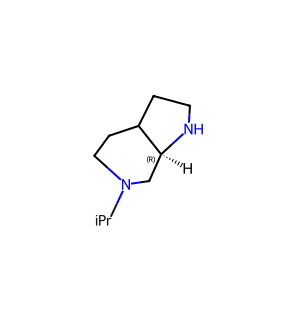 CC(C)N1CCC2CCN[C@H]2C1